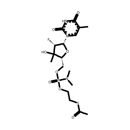 CC(=O)SCCOP(=O)(OC[C@H]1O[C@@H](n2cc(C)c(=O)[nH]c2=O)[C@@H](F)C1(C)O)N(C)C